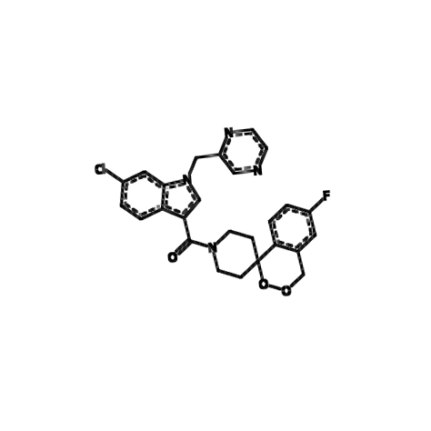 O=C(c1cn(Cc2cnccn2)c2cc(Cl)ccc12)N1CCC2(CC1)OOCc1cc(F)ccc12